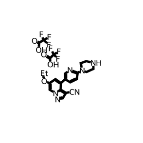 CCOc1cc(-c2ccc(N3CCNCC3)nc2)c2c(C#N)cnn2c1.O=C(O)C(F)(F)F.O=C(O)C(F)(F)F